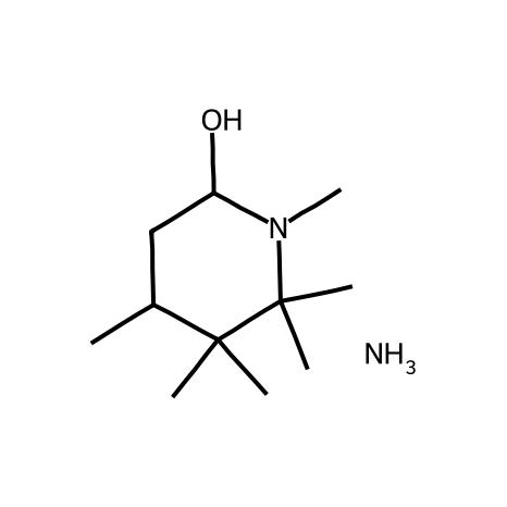 CC1CC(O)N(C)C(C)(C)C1(C)C.N